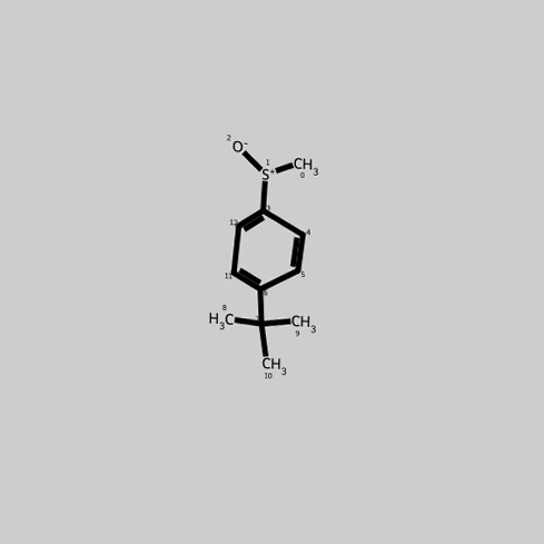 C[S+]([O-])c1ccc(C(C)(C)C)cc1